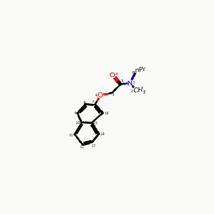 CCCN(C)C(=O)COc1ccc2ccccc2c1